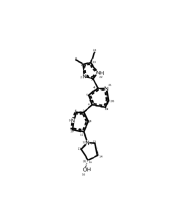 Cc1nc(-c2cc(-c3cncc(N4CC[C@H](O)C4)c3)ccn2)[nH]c1C